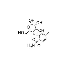 Cc1ccc(S(N)(=O)=O)cc1.OC[C@H]1O[C@@H](O)[C@@H](O)[C@@H](O)[C@@H]1O